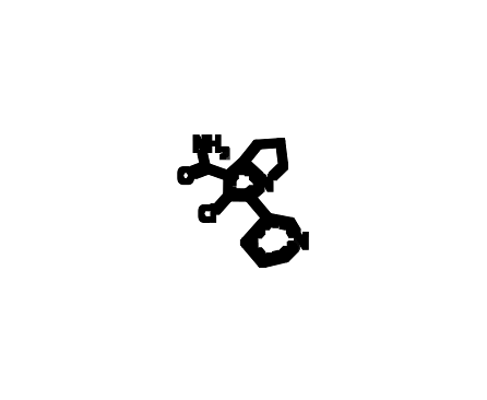 NC(=O)c1c(Cl)c(-c2cccnc2)n2c1CCC2